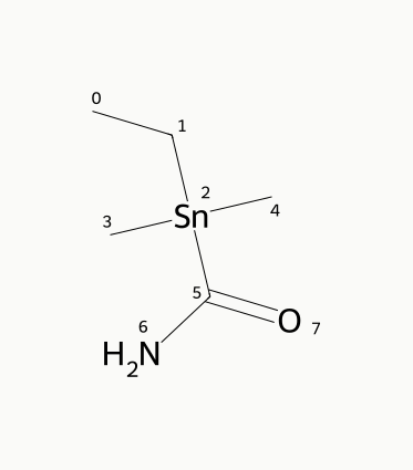 C[CH2][Sn]([CH3])([CH3])[C](N)=O